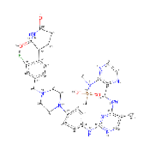 CN(c1nccnc1CNc1nc(Nc2ccc(N3CCN(Cc4ccc(C5CCC(=O)NC5=O)c(F)c4)CC3)cc2)ncc1C(F)(F)F)S(C)(=O)=O